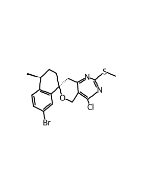 CSc1nc(Cl)c2c(n1)C[C@]1(CC[C@H](C)c3ccc(Br)cc31)OC2